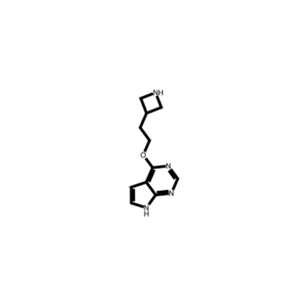 [c]1c[nH]c2ncnc(OCCC3CNC3)c12